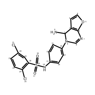 NC1c2ccoc2N=CN1c1ccc(NS(=O)(=O)c2cc(Cl)ccc2Cl)cc1